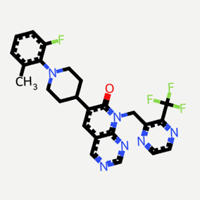 Cc1cccc(F)c1N1CCC(c2cc3cncnc3n(Cc3nccnc3C(F)(F)F)c2=O)CC1